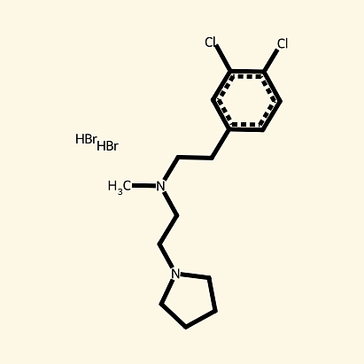 Br.Br.CN(CCc1ccc(Cl)c(Cl)c1)CCN1CCCC1